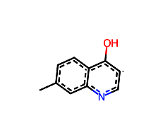 Cc1ccc2c(O)[c]cnc2c1